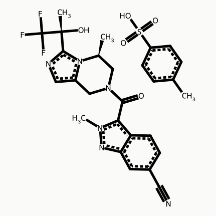 C[C@H]1CN(C(=O)c2c3ccc(C#N)cc3nn2C)Cc2cnc([C@@](C)(O)C(F)(F)F)n21.Cc1ccc(S(=O)(=O)O)cc1